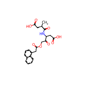 CC(CC(=O)O)C(=O)NC(CC(=O)O)C(=O)COC(=O)Cc1cccc2ccccc12